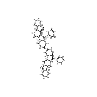 c1ccc(-n2c3ccc(-c4ccc5c6ccc7c8ccccc8sc7c6n(-c6ccccc6)c5c4)cc3c3cc4oc5ccccc5c4cc32)cc1